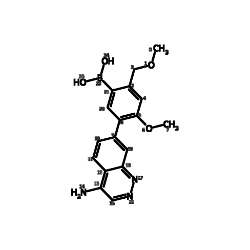 COCc1cc(OC)c(-c2ccc3c(N)cnnc3c2)cc1B(O)O